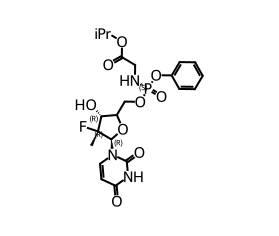 CC(C)OC(=O)CN[P@](=O)(OCC1O[C@@H](n2ccc(=O)[nH]c2=O)[C@](C)(F)[C@@H]1O)Oc1ccccc1